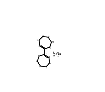 C1=C(C2=CCCCCC2)CCCCC1.[Na].[Na]